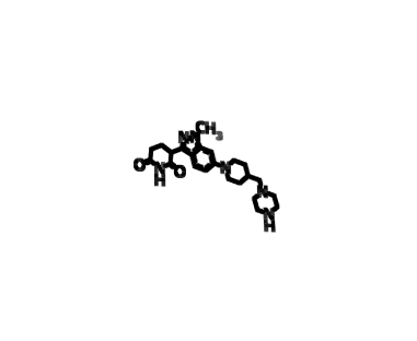 Cn1nc(C2CCC(=O)NC2=O)c2ccc(N3CCC(CN4CCNCC4)CC3)cc21